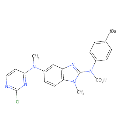 CN(c1ccc2c(c1)nc(N(C(=O)O)c1ccc(C(C)(C)C)cc1)n2C)c1ccnc(Cl)n1